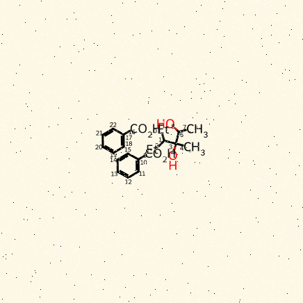 CCC(CC)C(C)(O)C(C)O.O=C(O)c1ccccc1.O=C(O)c1ccccc1